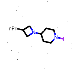 CCCC1CN(C2CCN(I)CC2)C1